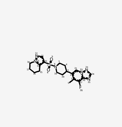 Cc1c(C2CCN(S(=O)(=O)c3cnn4c3CCCC4)CC2)cn2ncnc2c1F